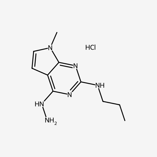 CCCNc1nc(NN)c2ccn(C)c2n1.Cl